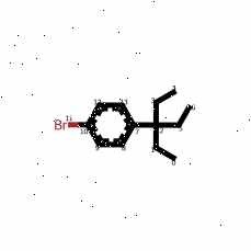 CCC(CC)(CC)c1ccc(Br)cc1